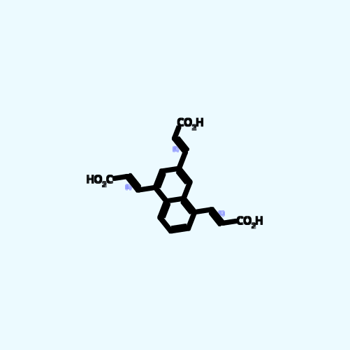 O=C(O)/C=C/c1cc(/C=C/C(=O)O)c2cccc(/C=C/C(=O)O)c2c1